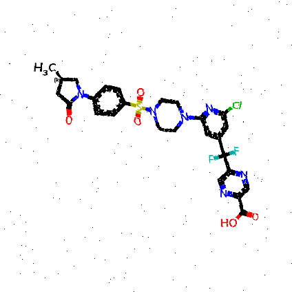 C[C@@H]1CC(=O)N(c2ccc(S(=O)(=O)N3CCN(c4cc(C(F)(F)c5cnc(C(=O)O)cn5)cc(Cl)n4)CC3)cc2)C1